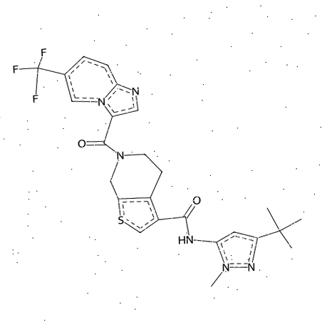 Cn1nc(C(C)(C)C)cc1NC(=O)c1csc2c1CCN(C(=O)c1cnc3ccc(C(F)(F)F)cn13)C2